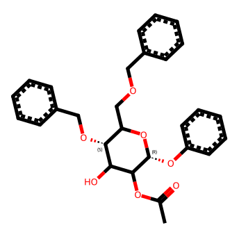 CC(=O)OC1C(O)[C@H](OCc2ccccc2)C(COCc2ccccc2)O[C@@H]1Oc1ccccc1